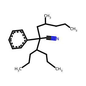 CCCC(C)CC(C#N)(c1ccccc1)C(CCC)CCC